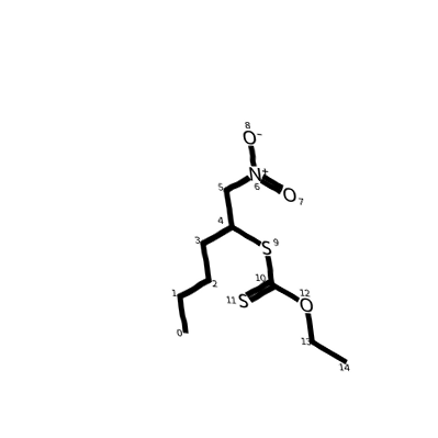 CCCCC(C[N+](=O)[O-])SC(=S)OCC